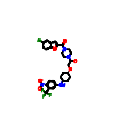 O=C(CO[C@H]1CC[C@H](Nc2ccc([N+](=O)[O-])c(C(F)(F)F)c2)CC1)N1CCN(C(=O)c2cc3cc(F)ccc3o2)CC1